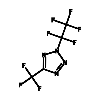 FC(F)(F)c1nnn(C(F)(F)C(F)(F)F)n1